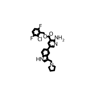 Nc1ncc(-c2ccc3[nH]cc(CN4CCCC4)c3c2)cc1C(=O)OCc1c(F)ccc(F)c1Cl